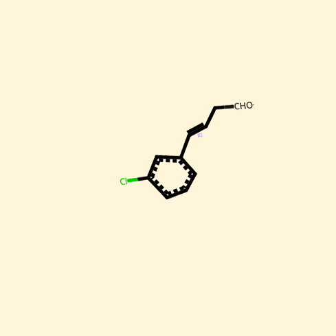 O=[C]C/C=C/c1cccc(Cl)c1